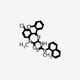 CN1C(=O)C(NC(=S)N(C)c2cccc3ccccc23)N=C(c2ccccc2Cl)c2cc(Cl)ccc21